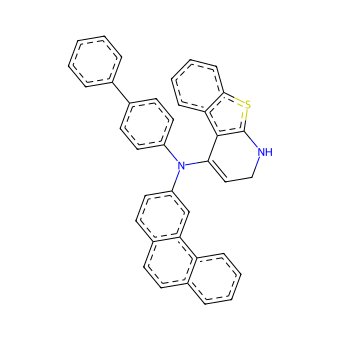 C1=C(N(c2ccc(-c3ccccc3)cc2)c2ccc3ccc4ccccc4c3c2)c2c(sc3ccccc23)NC1